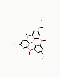 COc1cc(OC)c(P(c2c(OC)cc(OC)cc2OC)c2c(OC)cc(OC)cc2OC)c(OC)c1.[CH2]Cl